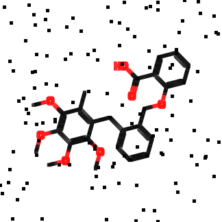 COc1c(C)c(Cc2ccccc2COc2ccccc2C(=O)O)c(OC)c(OC)c1OC